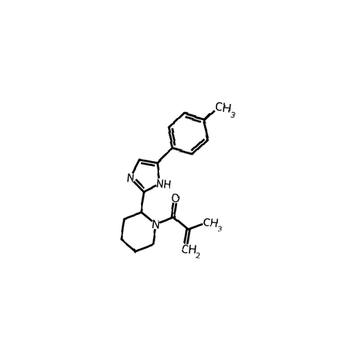 C=C(C)C(=O)N1CCCCC1c1ncc(-c2ccc(C)cc2)[nH]1